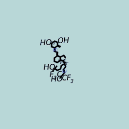 C=C1/C(=C\C=C2CCC[C@@]3(C)C2CC[C@@H]3[C@@](C)(C/C=C/C(O)(C(F)(F)F)C(F)(F)F)CCCC(C)(C)O)C[C@@H](O)CC1O